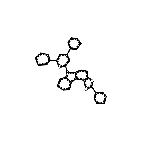 c1ccc(-c2cc(-c3ccccc3)nc(-n3c4ccccc4c4c5oc(-c6ccccc6)nc5ccc43)c2)cc1